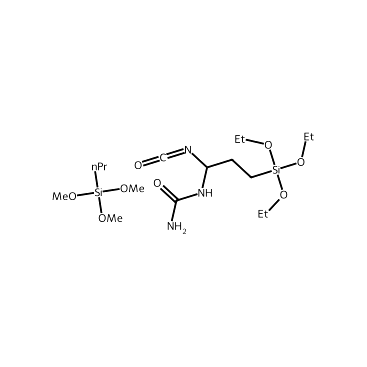 CCC[Si](OC)(OC)OC.CCO[Si](CCC(N=C=O)NC(N)=O)(OCC)OCC